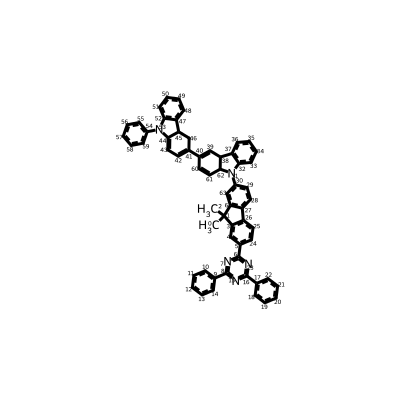 CC1(C)c2cc(-c3nc(-c4ccccc4)nc(-c4ccccc4)n3)ccc2-c2ccc(N3c4ccccc4C4C=C(C5=CC=C6C(C5)c5ccccc5N6c5ccccc5)C=CC43)cc21